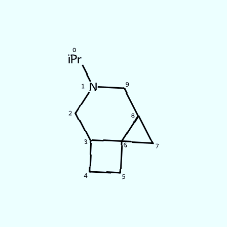 CC(C)N1CC2CCC23CC3C1